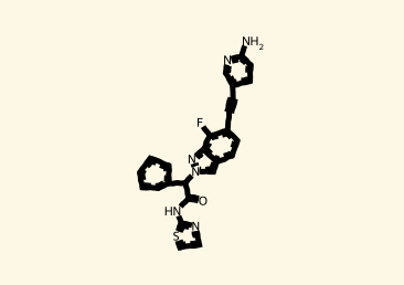 Nc1ccc(C#Cc2ccc3cn(C(C(=O)Nc4nccs4)c4ccccc4)nc3c2F)cn1